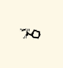 O=C([NH][Ti])C1CCCCC1